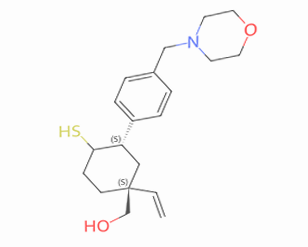 C=C[C@]1(CO)CCC(S)[C@H](c2ccc(CN3CCOCC3)cc2)C1